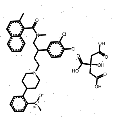 Cc1ccc2ccccc2c1C(=O)N(C)CC(CCN1CCC(c2ccccc2[S@+](C)[O-])CC1)c1ccc(Cl)c(Cl)c1.O=C(O)CC(O)(CC(=O)O)C(=O)O